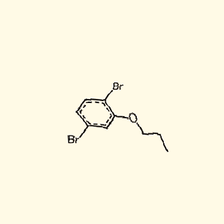 CCCOc1cc(Br)ccc1Br